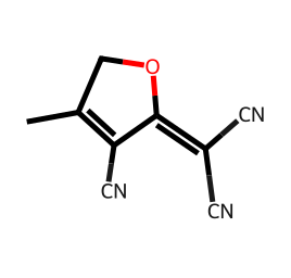 CC1=C(C#N)C(=C(C#N)C#N)OC1